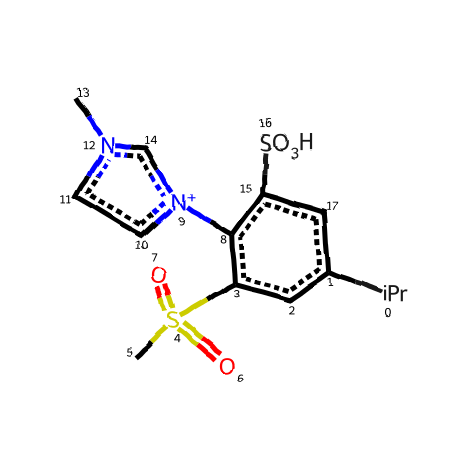 CC(C)c1cc(S(C)(=O)=O)c(-[n+]2ccn(C)c2)c(S(=O)(=O)O)c1